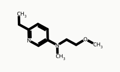 CCc1ccc(N(C)CCOC)cn1